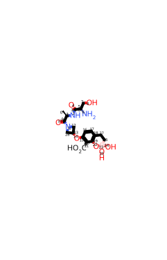 C[C@@H](NC(=O)[C@H](N)CO)C(=O)N1CC(Oc2ccc3c(c2C(=O)O)O[B-](O)(O)CC3)C1